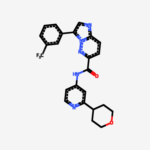 O=C(Nc1ccnc(C2CCOCC2)c1)c1ccc2ncc(-c3cccc(C(F)(F)F)c3)n2n1